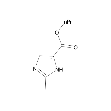 CCCOC(=O)c1cnc(C)[nH]1